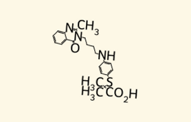 Cc1nc2ccccc2c(=O)n1CCCCNc1ccc(SC(C)(C)C(=O)O)cc1